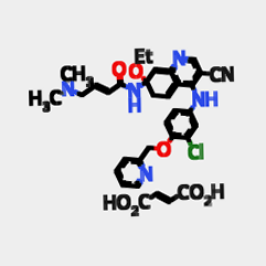 CCOC1(NC(=O)C=CCN(C)C)C=c2ncc(C#N)c(Nc3ccc(OCc4ccccn4)c(Cl)c3)c2=CC1.O=C(O)C=CC(=O)O